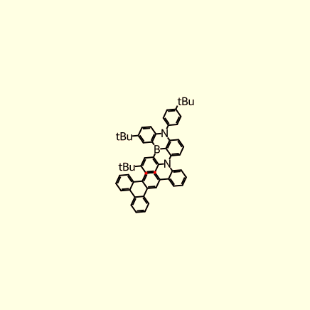 CC(C)(C)c1ccc(N2c3ccc(C(C)(C)C)cc3B3c4cc(C(C)(C)C)ccc4N(c4ccccc4-c4ccc5c6ccccc6c6ccccc6c5c4)c4cccc2c43)cc1